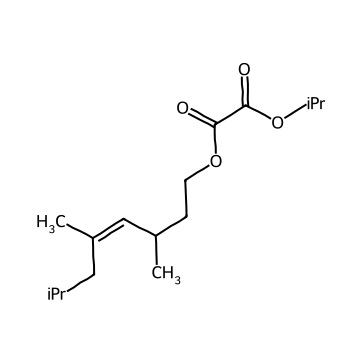 CC(=CC(C)CCOC(=O)C(=O)OC(C)C)CC(C)C